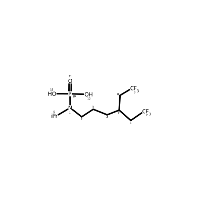 CC(C)N(CCCC(CC(F)(F)F)CC(F)(F)F)P(=O)(O)O